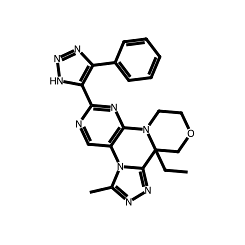 CCC12COCCN1c1nc(-c3[nH]nnc3-c3ccccc3)ncc1-n1c(C)nnc12